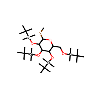 CSC1OC(CO[Si](C)(C)C(C)(C)C)C(O[Si](C)(C)C(C)(C)C)C(O[Si](C)(C)C(C)(C)C)C1O[Si](C)(C)C(C)(C)C